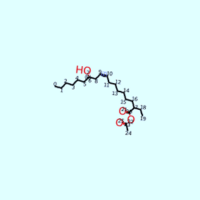 CCCCCC[C@@H](O)C/C=C\CCCCCCC(CC)C(=O)OC(C)=O